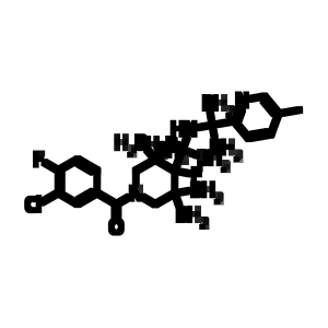 BC(B)(NC(B)(B)C1(F)C(B)(B)CN(C(=O)c2ccc(F)c(Cl)c2)CC1(B)B)c1ccc(C)cn1